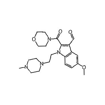 COc1ccc2c(c1)c(C=O)c(C(=O)N1CCOCC1)n2CCN1CCN(C)CC1